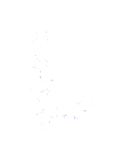 CCOC(=O)c1nn(Cc2ccccc2)c(C)c1-c1ccc(N2CCc3cccc(C(=O)Nc4nc5ccccc5s4)c3C2)nc1C(=O)O